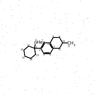 CCCCCCC1(c2ccc3c(c2)CCC(C)C3)CCCCC1